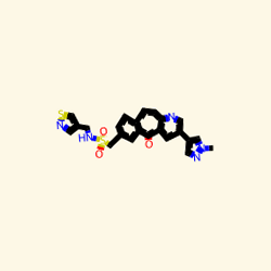 Cn1cc(-c2cnc3ccc4ccc(CS(=O)(=O)NCc5cnsc5)cc4c(=O)c3c2)cn1